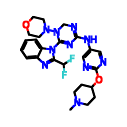 CN1CCC(Oc2ncc(NC3=NCN(N4CCOCC4)C(n4c(C(F)F)nc5ccccc54)=N3)cn2)CC1